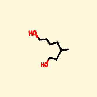 CC(CCO)CCCCO